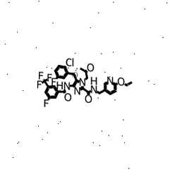 CCOc1ccc(CNC(=O)c2nc(NC(=O)c3cc(F)cc(C(F)(F)F)c3)c([C@@H](C)c3cc(F)ccc3Cl)n2CC(C)=O)cn1